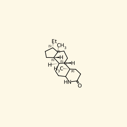 CC[C@H]1CC[C@H]2[C@@H]3CCC4NC(=O)CC[C@]4(C)[C@H]3CC[C@]12C